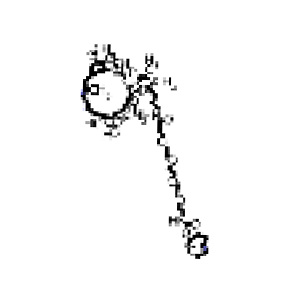 COc1cc2cc(c1Cl)N(C)C(=O)C[C@H](OC(=O)[C@H](C)N(C)C(=O)CCCNC(=O)CCOCCOCCOCCOCCNC(=O)OC1CC/C=C/CCC1)[C@@H]1O[C@H]1[C@H](C)[C@@H]1C[C@](O)(C/C=C/C=C(\C)C2)NC(=O)O1